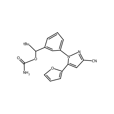 CC(C)(C)C(OC(N)=O)c1cccc(-n2nc(C#N)cc2-c2ccco2)c1